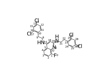 Fc1cccc2c(NCCc3ccc(Cl)cc3Cl)cc(NCCc3ccc(Cl)cc3Cl)nc12